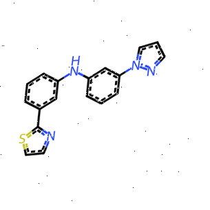 c1cc(Nc2cccc(-n3cccn3)c2)cc(-c2nccs2)c1